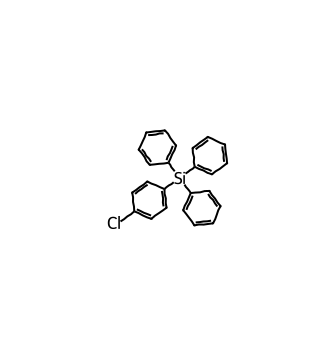 Clc1ccc([Si](c2ccccc2)(c2ccccc2)c2ccccc2)cc1